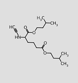 C#CNC(CCCC(=O)OCCC(C)C)C(=O)OCCC(C)C